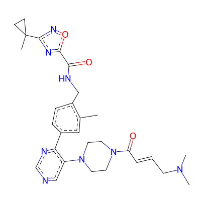 Cc1cc(-c2ncncc2N2CCN(C(=O)/C=C/CN(C)C)CC2)ccc1CNC(=O)c1nc(C2(C)CC2)no1